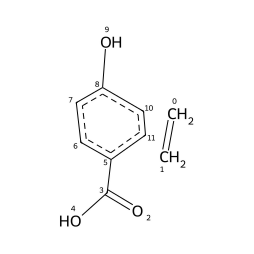 C=C.O=C(O)c1ccc(O)cc1